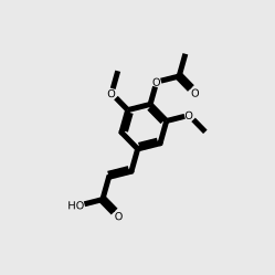 COc1cc(C=CC(=O)O)cc(OC)c1OC(C)=O